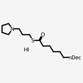 CCCCCCCCCCCCCCCC(=O)SCCCN1CCCC1.I